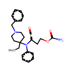 COCC1(N(C(=C=O)CCOC(N)=O)c2ccccc2)CCN(Cc2ccccc2)CC1